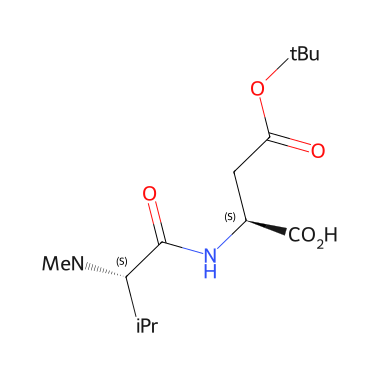 CN[C@H](C(=O)N[C@@H](CC(=O)OC(C)(C)C)C(=O)O)C(C)C